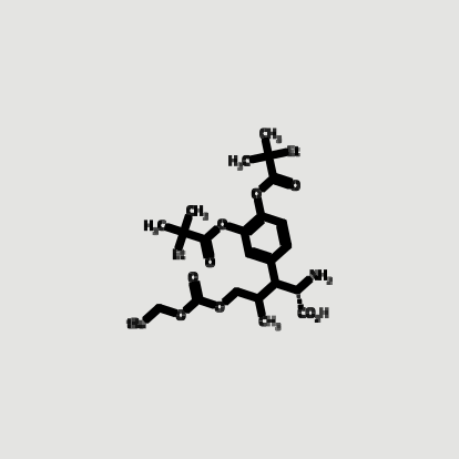 CCC(C)(C)C(=O)Oc1ccc(C(C(C)COC(=O)OCC(C)(C)C)[C@H](N)C(=O)O)cc1OC(=O)C(C)(C)CC